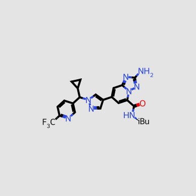 CC[C@H](C)NC(=O)c1cc(-c2cnn(C(c3ccc(C(F)(F)F)nc3)C3CC3)c2)cc2nc(N)nn12